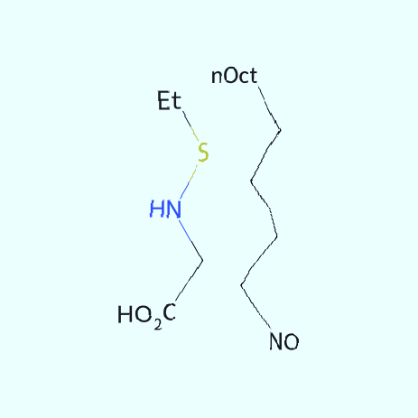 CCCCCCCCCCCCN=O.CCSNCC(=O)O